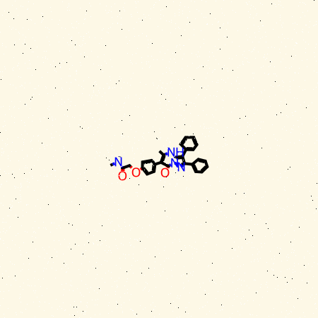 Cc1[nH]c2c(-c3ccccc3)c(-c3ccccc3)nn2c(=O)c1-c1ccc(OCC(=O)N(C)C)cc1